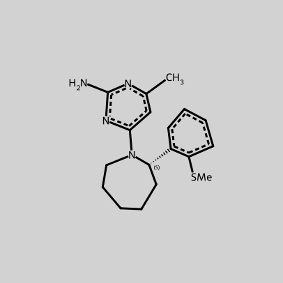 CSc1ccccc1[C@@H]1CCCCCN1c1cc(C)nc(N)n1